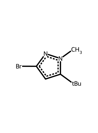 Cn1nc(Br)cc1C(C)(C)C